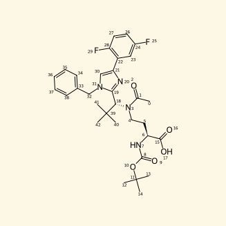 CC(=O)N(CC[C@H](NC(=O)OC(C)(C)C)C(=O)O)[C@@H](c1nc(-c2cc(F)ccc2F)cn1Cc1ccccc1)C(C)(C)C